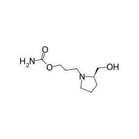 NC(=O)OCCCN1CCC[C@@H]1CO